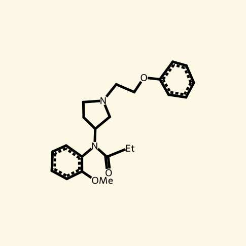 CCC(=O)N(c1ccccc1OC)C1CCN(CCOc2ccccc2)C1